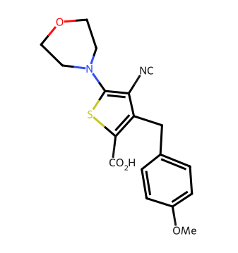 [C-]#[N+]c1c(N2CCOCC2)sc(C(=O)O)c1Cc1ccc(OC)cc1